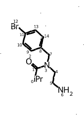 CC(C)C(=O)N(CCN)Cc1ccc(Br)cc1